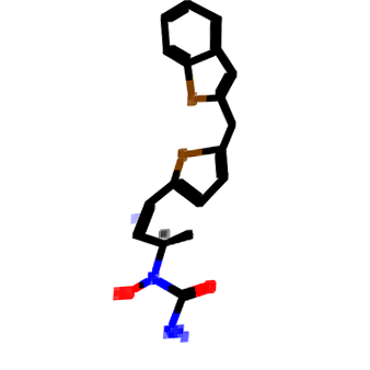 C[C@H](/C=C\c1ccc(Cc2cc3ccccc3s2)s1)N(O)C(N)=O